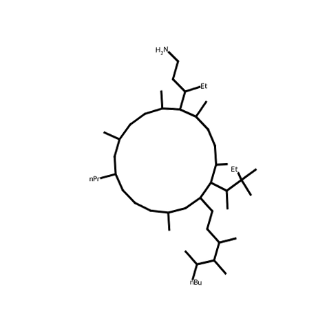 CCCCC(C)C(C)C(C)CCC1CC(C)CCCC(CCC)CC(C)CCC(C)C(C(CC)CCN)C(C)CCC(C)C1C(C)C(C)(C)CC